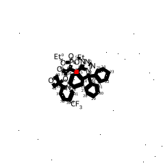 CCOP(=O)(OCC)C(Cc1nnnn1C(c1ccccc1)(c1ccccc1)c1ccccc1)C(=O)OC1(c2ccc(C(F)(F)F)cn2)COC1